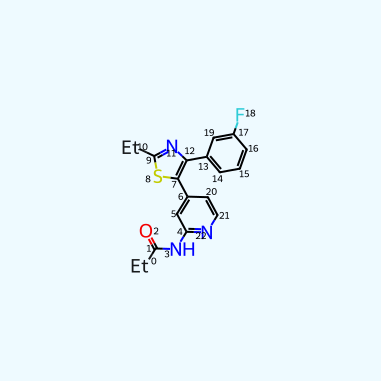 CCC(=O)Nc1cc(-c2sc(CC)nc2-c2cccc(F)c2)ccn1